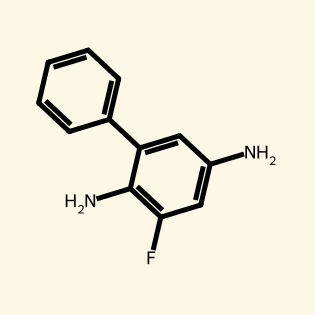 Nc1cc(F)c(N)c(-c2ccccc2)c1